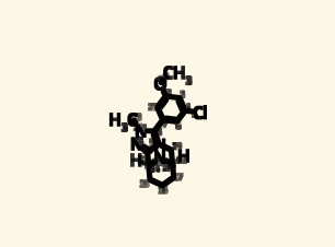 COc1cc(Cl)cc(-c2c3c(nn2C)[C@@H]2CCC[C@H](C3)N2)c1